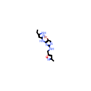 CCc1cc(Nc2nc(NCc3cc(C)no3)ncc2Br)n[nH]1